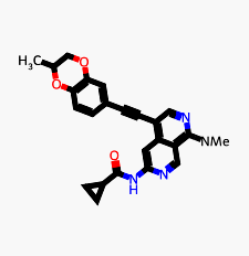 CNc1ncc(C#Cc2ccc3c(c2)OCC(C)O3)c2cc(NC(=O)C3CC3)ncc12